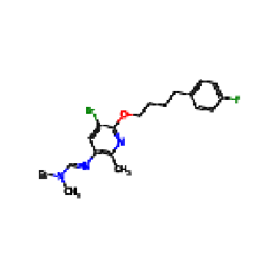 CCN(C)/C=N/c1cc(Br)c(OCCCCc2ccc(F)cc2)nc1C